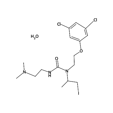 CC(CI)N(CCOc1cc(Cl)cc(Cl)c1)C(=O)NCCN(C)C.O